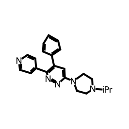 CC(C)N1CCN(c2cc(-c3ccccc3)c(-c3ccncc3)nn2)CC1